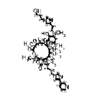 CC[C@H]1OC(=O)[C@H](C)C(=O)[C@H](C)[C@@H](O[C@@H]2O[C@H](C)C[C@H](N(C)CCc3cn(CCCO)nn3)[C@H]2O)[C@](C)(OC)C[C@@H](C)C(=O)[C@H](C)[C@H]2N(CCCCn3cnc(-c4cccnc4)c3)C(=O)O[C@]12C